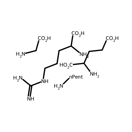 CCCCCN.N=C(N)NCCCC(N)C(=O)O.NC(CCC(=O)O)C(=O)O.NCC(=O)O